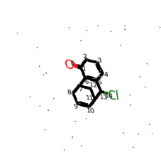 O=C1CC=CC2=C1C1CC=CC(C1)C2Cl